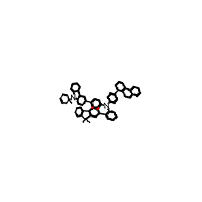 CC1(C)c2ccccc2-c2ccc(-c3ccccc3N(c3ccc(-c4ccc5c(c4)c4ccccc4n5C4(C)C=CC=CC4)cc3)c3ccc(-c4cccc5c4ccc4ccccc45)cc3)cc21